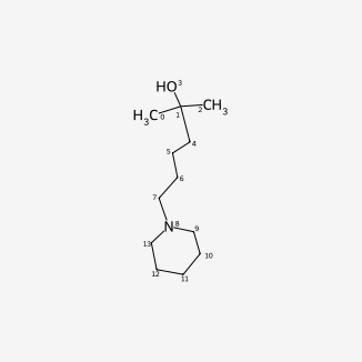 CC(C)(O)CCCCN1CCCCC1